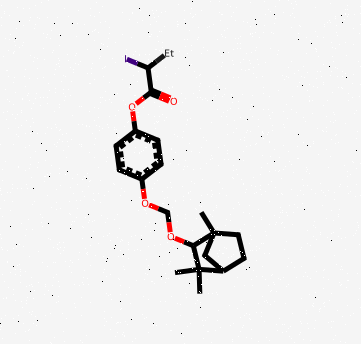 CCC(I)C(=O)Oc1ccc(OCOC2C3(C)CCC(C3)C2(C)C)cc1